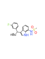 CCCCC(c1cccc(F)c1)c1c[nH]c2c(NS(C)(=O)=O)cccc12